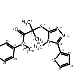 CN(C(=O)C(C)(C)Sc1nnc(-c2cccs2)n1C)c1ccccc1